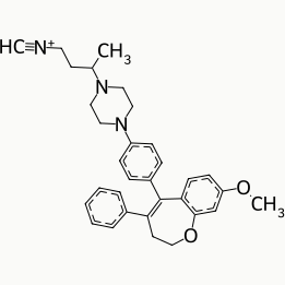 C#[N+]CCC(C)N1CCN(c2ccc(C3=C(c4ccccc4)CCOc4cc(OC)ccc43)cc2)CC1